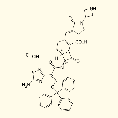 Cl.Cl.Nc1nc(C(=NOC(c2ccccc2)(c2ccccc2)c2ccccc2)C(=O)N[C@@H]2C(=O)N3C(C(=O)O)=C(C=C4CCN(C5CNC5)C4=O)CS[C@H]23)ns1